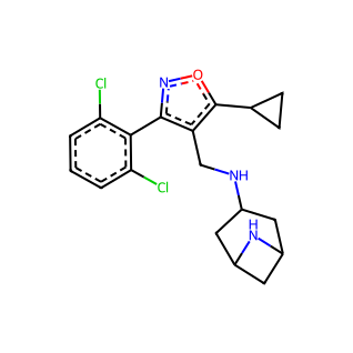 Clc1cccc(Cl)c1-c1noc(C2CC2)c1CNC1CC2CC(C1)N2